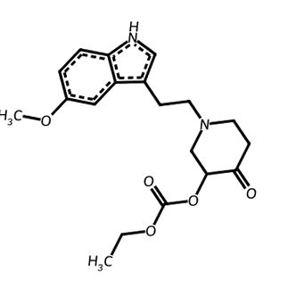 CCOC(=O)OC1CN(CCc2c[nH]c3ccc(OC)cc23)CCC1=O